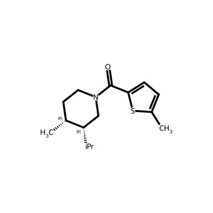 Cc1ccc(C(=O)N2CC[C@@H](C)[C@@H](C(C)C)C2)s1